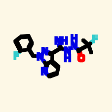 CC(C)(F)C(=O)NNC(=N)c1nn(Cc2ccccc2F)c2ncccc12